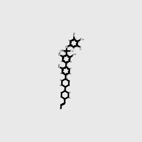 C/C=C/C1CCC(C2CCC(c3ccc(-c4cc(F)c(C(F)(F)Oc5cc(F)c(F)c(F)c5)c(F)c4)c(F)c3)CC2)CC1